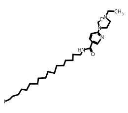 CCN1CCN(c2ccc(C(=O)NCCCCCCCCCCCCCCCCCI)cn2)CC1